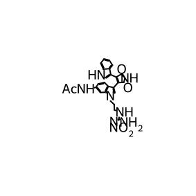 CC(=O)Nc1ccc2c(C3=C(c4c[nH]c5ccccc45)C(=O)NC3=O)cn(CCCNC(N)=N[N+](=O)[O-])c2c1